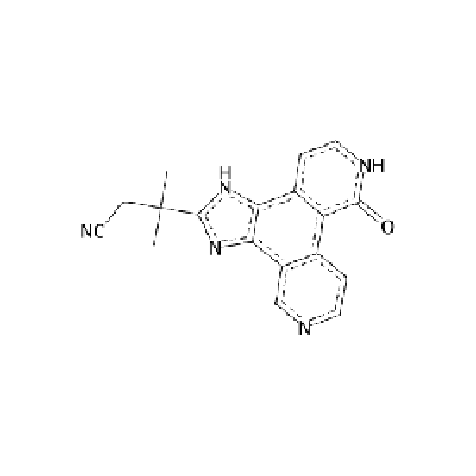 CC(C)(CC#N)c1nc2c3cnccc3c3c(=O)[nH]ccc3c2[nH]1